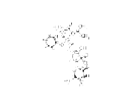 Cc1cn([C@@H]2O[C@H](CO[P@@](=S)(N[C@H](C)C(=O)OC(C)C)Oc3ccccc3)[C@@H](O)C2(Cl)Cl)c(=O)[nH]c1=O